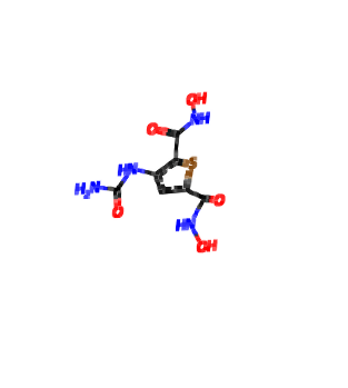 NC(=O)Nc1cc(C(=O)NO)sc1C(=O)NO